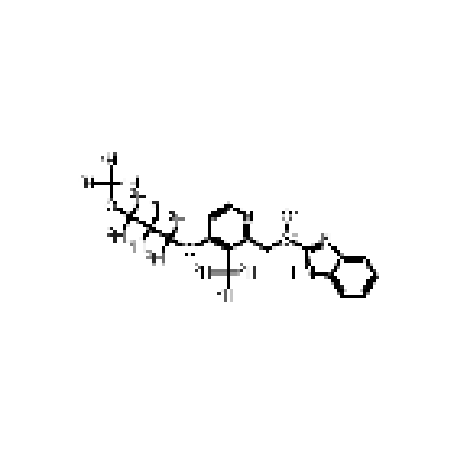 [2H]C([2H])([2H])OC([2H])([2H])C([2H])([2H])C([2H])([2H])Oc1ccnc(C[S+]([O-])c2nc3ccccc3[nH]2)c1C([2H])([2H])[2H]